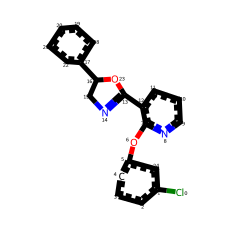 Clc1cccc(Oc2ncccc2C2=NCC(c3ccccc3)O2)c1